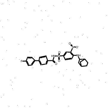 O=C(NS(=O)(=O)c1ccc(NC2CC3CCC2C3)c([N+](=O)[O-])c1)c1ccc(-c2ccc(F)cc2)cc1